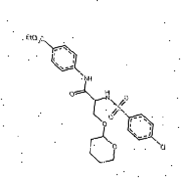 CCOC(=O)c1ccc(NC(=O)C(COC2CCCCO2)NS(=O)(=O)c2ccc(Cl)cc2)cc1